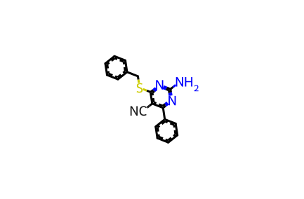 N#Cc1c(SCc2ccccc2)nc(N)nc1-c1ccccc1